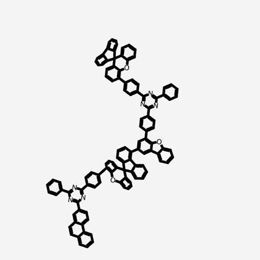 c1ccc(-c2nc(-c3ccc(-c4cccc5c4Oc4ccccc4C54c5ccccc5-c5ccccc54)cc3)nc(-c3ccc(-c4cc(-c5cccc6c5-c5ccccc5C65c6ccccc6Oc6c(-c7ccc(-c8nc(-c9ccccc9)nc(-c9ccc%10c(ccc%11ccccc%11%10)c9)n8)cc7)cccc65)cc5c4oc4ccccc45)cc3)n2)cc1